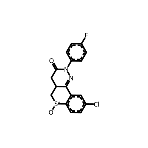 O=C1CC2C[S+]([O-])c3ccc(Cl)cc3C2=NN1c1ccc(F)cc1